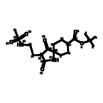 CC(C)(C)OC(=O)N1CCC2(CC1)NC(=O)N(CCNS(C)(=O)=O)C2=O